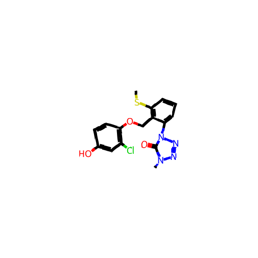 CSc1cccc(-n2nnn(C)c2=O)c1COc1ccc(O)cc1Cl